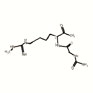 CNC(=N)NCCCC[C@H](NC(=O)CNC(N)=O)C(C)=O